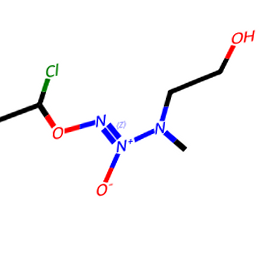 CC(Cl)O/N=[N+](\[O-])N(C)CCO